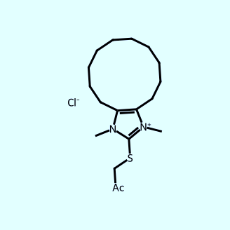 CC(=O)CSc1n(C)c2c([n+]1C)CCCCCCCCCC2.[Cl-]